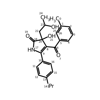 Cc1cccc(C(=O)C2=C(c3ccc(C(C)C)cc3)NC(=O)C2(O)CC(C)O)c1